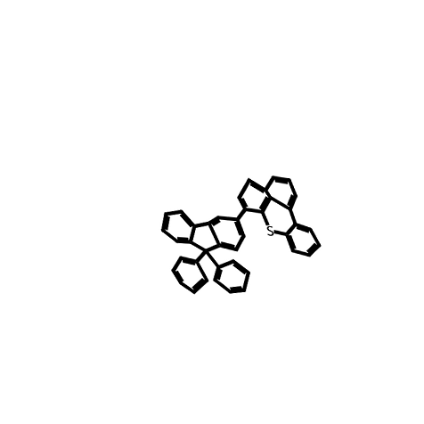 c1ccc(C2(c3ccccc3)c3ccccc3-c3cc(-c4ccc5cccc6c5c4Sc4ccccc4-6)ccc32)cc1